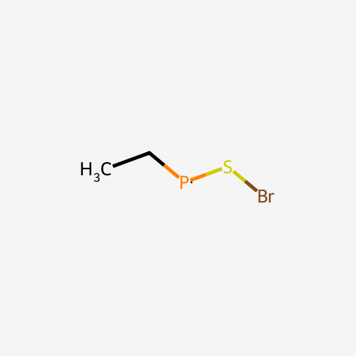 CC[P]SBr